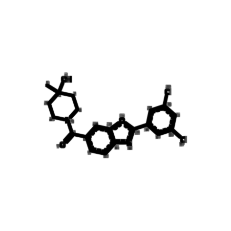 CC1(O)CCN(C(=O)c2ccc3nc(-c4cc(Cl)cc(Cl)c4)oc3c2)CC1